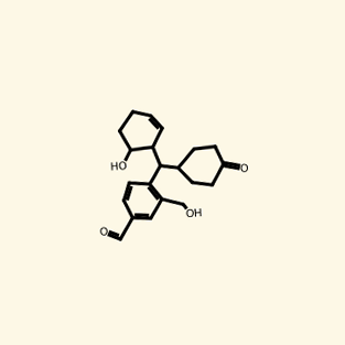 O=Cc1ccc(C(C2CCC(=O)CC2)C2C=CCCC2O)c(CO)c1